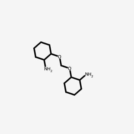 NC1CCCCC1OCOC1CCCCC1N